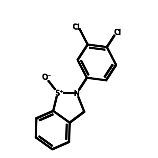 [O-][S+]1c2ccccc2CN1c1ccc(Cl)c(Cl)c1